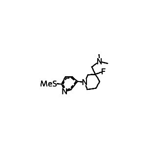 CSc1ccc(N2CCCC(F)(CN(C)C)C2)cn1